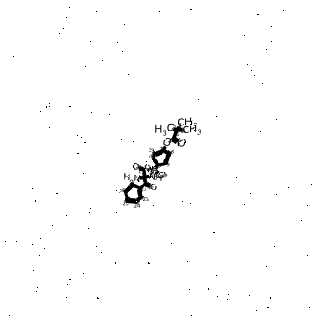 CC(C)(C)C(=O)Oc1ccc(S(=O)(=O)NC(N)(C(=O)O)C(=O)c2ccccc2)cc1